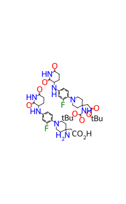 CC(C)(C)OC(=O)CC1(NC(=O)OC(C)(C)C)CCN(c2ccc(NC3CCC(=O)NC3=O)cc2F)CC1.NC1(CC(=O)O)CCN(c2ccc(NC3CCC(=O)NC3=O)cc2F)CC1